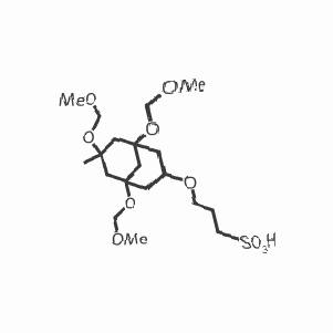 COCOC1(C)CC2(OCOC)CC(OCCCS(=O)(=O)O)CC(OCOC)(C1)C2